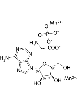 NCC(=O)[O-].Nc1ncnc2c1ncn2[C@@H]1O[C@H](CO)[C@@H](O)[C@H]1O.O=P([O-])([O-])[O-].[Mn+2].[Mn+2]